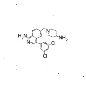 Nc1ncc(-c2cc(Cl)cc(Cl)c2)c2cc(CN3CCC(N)CC3)ccc12